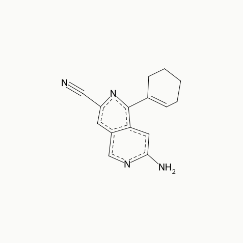 N#Cc1cc2cnc(N)cc2c(C2=CCCCC2)n1